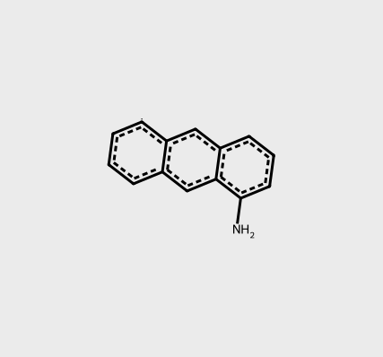 Nc1cccc2cc3[c]cccc3cc12